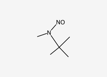 CN(N=O)C(C)(C)C